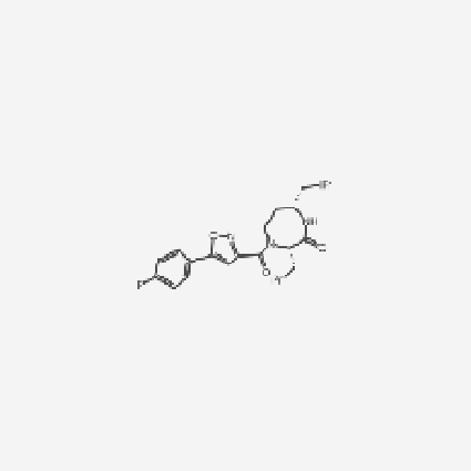 CC(C)C[C@H]1CCN(C(=O)c2cc(-c3ccc(F)cc3)on2)[C@@H](CC(C)C)C(=O)N1